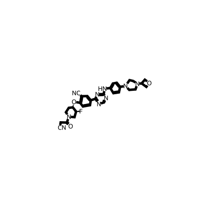 N#CCC(=O)N1CC[C@H](Oc2ccc(-c3ncnc(Nc4ccc(N5CCN(C6COC6)CC5)cc4)n3)cc2C#N)[C@@H](F)C1